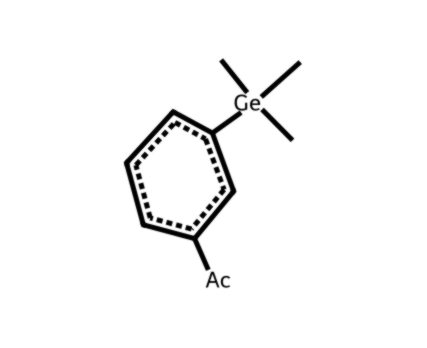 CC(=O)c1ccc[c]([Ge]([CH3])([CH3])[CH3])c1